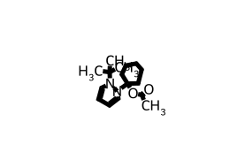 CC(=O)OC1(N2C=CC=CN2C(C)(C)C)CCCCC1